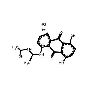 CC(O)NC(C)Nc1cccc2c1C(=O)c1c(O)ccc(O)c1C2=O.Cl.Cl